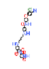 N#Cc1ccc(OC2CCC(NC(=O)c3ccc(NCCCCCCNc4ccc5c(c4)C(=O)N(C4CCC(=O)NC4=O)C5=O)cc3)CC2)cc1Cl